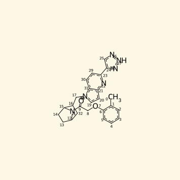 Cc1ccccc1OCC(=O)N1C2CCC1C(Cn1ccc3nc(-c4cn[nH]n4)ccc31)C2